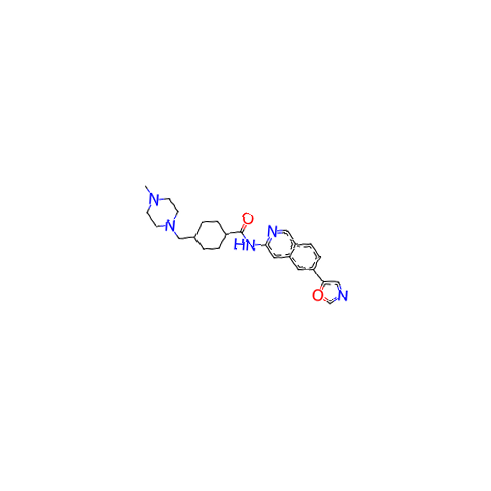 CN1CCN(CC2CCC(C(=O)Nc3cc4cc(-c5cnco5)ccc4cn3)CC2)CC1